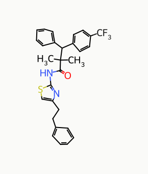 CC(C)(C(=O)Nc1nc(CCc2ccccc2)cs1)C(c1ccccc1)c1ccc(C(F)(F)F)cc1